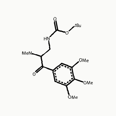 CNC(CNC(=O)OC(C)(C)C)C(=O)c1cc(OC)c(OC)c(OC)c1